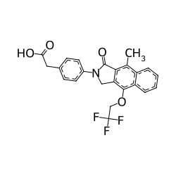 Cc1c2c(c(OCC(F)(F)F)c3ccccc13)CN(c1ccc(CC(=O)O)cc1)C2=O